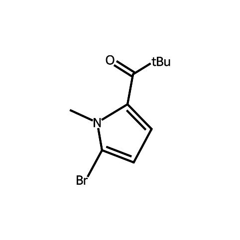 Cn1c(Br)ccc1C(=O)C(C)(C)C